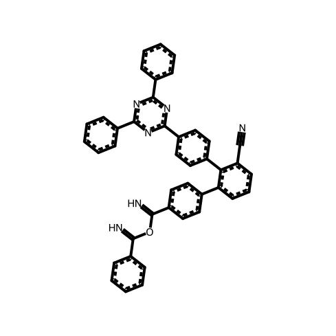 N#Cc1cccc(-c2ccc(C(=N)OC(=N)c3ccccc3)cc2)c1-c1ccc(-c2nc(-c3ccccc3)nc(-c3ccccc3)n2)cc1